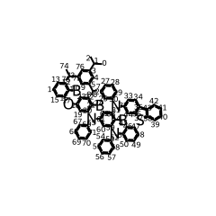 CC(C)c1cc(C(C)C)c(B2c3ccccc3Oc3cc4c(cc32)B2c3ccccc3N3c5ccc6c(sc7ccccc76)c5B5c6ccccc6N(c6ccccc6)c6cc(c2c3c65)N4c2ccccc2)c(C(C)C)c1